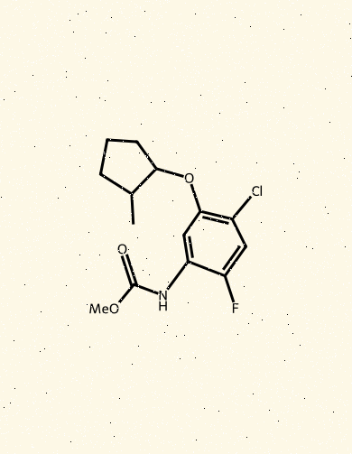 COC(=O)Nc1cc(OC2CCCC2C)c(Cl)cc1F